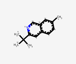 Cc1ccc2cc(C(C)(C)C)ncc2c1